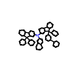 c1ccc(-c2cccc(C3(c4ccccc4)c4ccccc4-c4ccc(N(c5ccc6c(c5)C(c5ccccc5)(c5ccccc5)c5ccccc5-6)c5ccc6ccccc6c5)cc43)c2)cc1